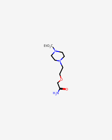 CCOC(=O)N1CCN(CCOCC(N)=O)CC1